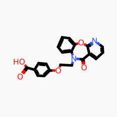 O=C(O)c1ccc(OCCN2C(=O)c3cccnc3Oc3ccccc32)cc1